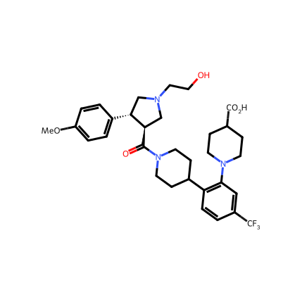 COc1ccc([C@@H]2CN(CCO)C[C@H]2C(=O)N2CCC(c3ccc(C(F)(F)F)cc3N3CCC(C(=O)O)CC3)CC2)cc1